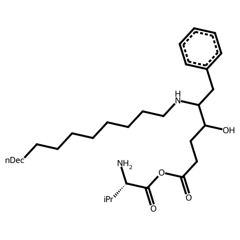 CCCCCCCCCCCCCCCCCCNC(Cc1ccccc1)C(O)CCC(=O)OC(=O)[C@@H](N)C(C)C